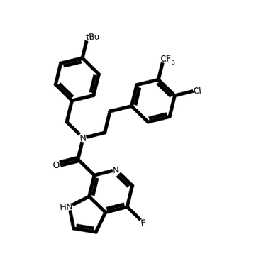 CC(C)(C)c1ccc(CN(CCc2ccc(Cl)c(C(F)(F)F)c2)C(=O)c2ncc(F)c3cc[nH]c23)cc1